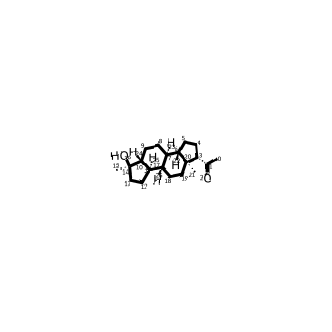 CC(=O)[C@H]1CC[C@H]2[C@@H]3CC[C@@H]4[C@H](CC[C@@]4(C)O)[C@H]3CC[C@]12C